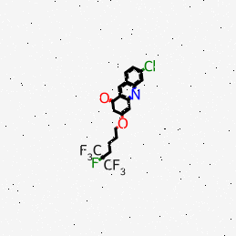 O=C1CC(OCCCCC(F)(C(F)(F)F)C(F)(F)F)=Cc2nc3cc(Cl)ccc3cc21